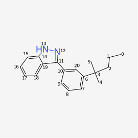 CCCC(C)(C)c1cccc(-c2n[nH]c3ccccc23)c1